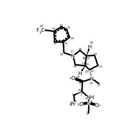 CC(C)C[C@H](NS(C)(=O)=O)C(=O)N(C)[C@H]1CC[C@H]2CN(Cc3cccc(C(F)(F)F)c3)C[C@H]21